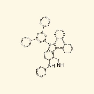 N=Cc1c(Nc2ccccc2)ccc2c1c1c3ccccc3c3ccccc3c1n2-c1cc(-c2ccccc2)cc(-c2ccccc2)c1